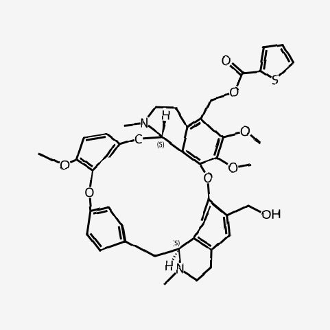 COc1ccc2cc1Oc1ccc(cc1)C[C@H]1c3cc(c(CO)cc3CCN1C)Oc1c(OC)c(OC)c(COC(=O)c3cccs3)c3c1[C@H](C2)N(C)CC3